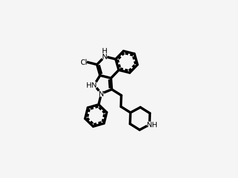 ClC1=C2NN(c3ccccc3)C(CCC3CCNCC3)=C2c2ccccc2N1